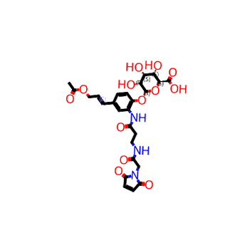 CC(=O)OC/C=C/c1ccc(O[C@@H]2O[C@H](C(=O)O)[C@@H](O)[C@H](O)[C@H]2O)c(NC(=O)CCNC(=O)CN2C(=O)C=CC2=O)c1